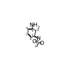 CS(=O)(=O)N=C1C=CC=C(N)C1